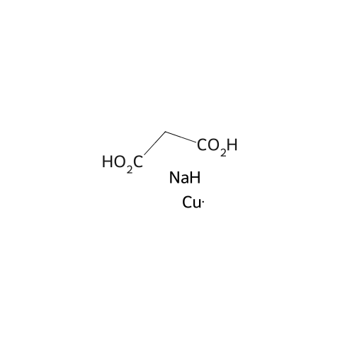 O=C(O)CC(=O)O.[Cu].[NaH]